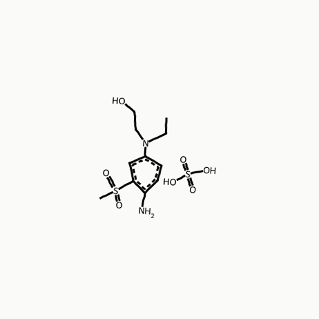 CCN(CCO)c1ccc(N)c(S(C)(=O)=O)c1.O=S(=O)(O)O